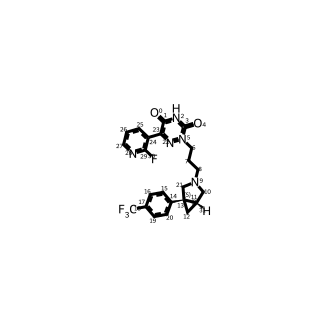 O=c1[nH]c(=O)n(CCCN2C[C@@H]3C[C@]3(c3ccc(C(F)(F)F)cc3)C2)nc1-c1cccnc1F